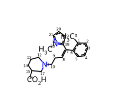 Cc1ccccc1C(=CCCN1CCCC(C(=O)O)C1)c1cccn1C